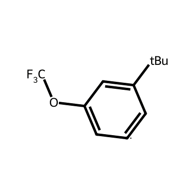 CC(C)(C)c1c[c]cc(OC(F)(F)F)c1